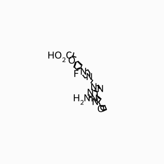 CC(C)(Oc1ccc(N2CCN(CCn3cnc4c3nc(N)n3nc(-c5ccco5)cc43)CC2)c(F)c1)C(=O)O